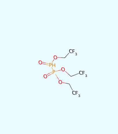 O=[PH](OCC(F)(F)F)P(=O)(OCC(F)(F)F)OCC(F)(F)F